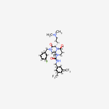 CN(C)CCC[C@H]1C(=O)N(Cc2cccc(F)c2)C[C@@H]2N(C(=O)NCc3cc(C(F)(F)F)cc(C(F)(F)F)c3)CCC(=O)N21